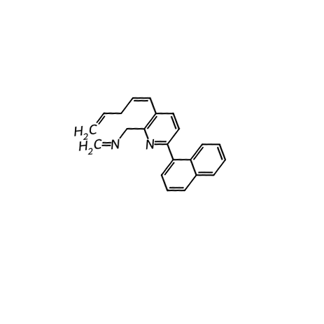 C=CC/C=C\c1ccc(-c2cccc3ccccc23)nc1CN=C